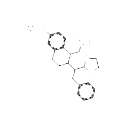 COc1ccc2c(c1)CCC(C(Cc1ccccc1)C1OCCO1)C2CN